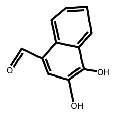 O=Cc1cc(O)c(O)c2ccccc12